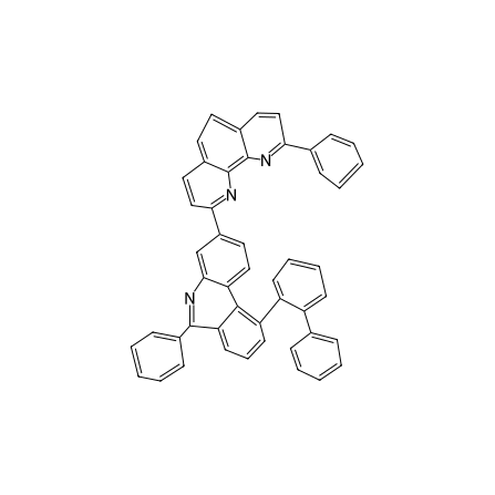 c1ccc(-c2ccc3ccc4ccc(-c5ccc6c(c5)nc(-c5ccccc5)c5cccc(-c7ccccc7-c7ccccc7)c56)nc4c3n2)cc1